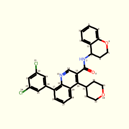 O=C(NC1CCOc2ccccc21)c1cnc2c(-c3cc(Cl)cc(Cl)c3)cccc2c1C1CCOCC1